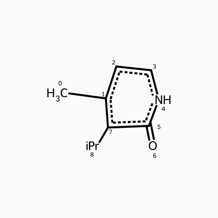 Cc1cc[nH]c(=O)c1C(C)C